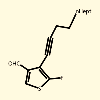 CCCCCCCCCC#Cc1c(C=O)csc1F